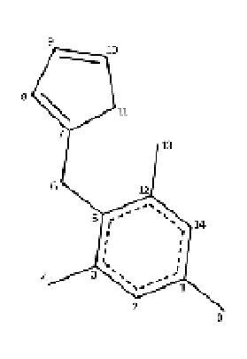 Cc1cc(C)c(CC2=CC=CC2)c(C)c1